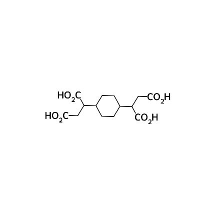 O=C(O)CC(C(=O)O)C1CCC(C(CC(=O)O)C(=O)O)CC1